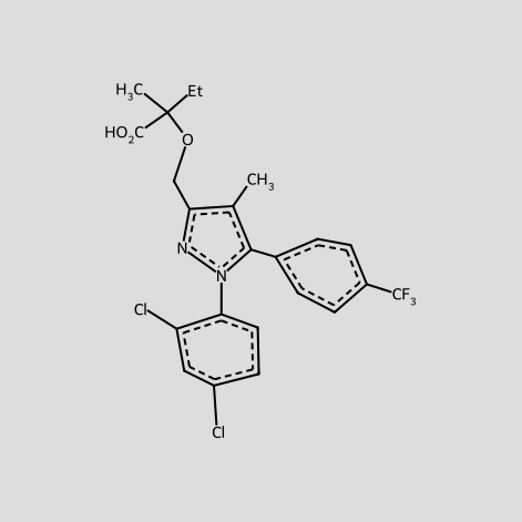 CCC(C)(OCc1nn(-c2ccc(Cl)cc2Cl)c(-c2ccc(C(F)(F)F)cc2)c1C)C(=O)O